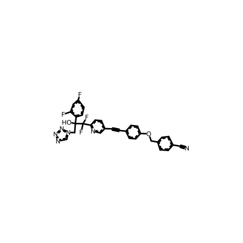 N#Cc1ccc(COc2ccc(C#Cc3ccc(C(F)(F)C(O)(Cn4cnnn4)c4ccc(F)cc4F)nc3)cc2)cc1